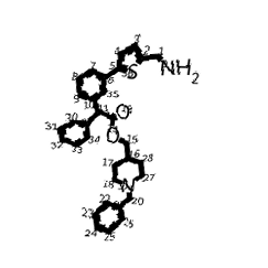 NCc1ccc(-c2cccc(C(C(=O)OCC3CCN(Cc4ccccc4)CC3)c3ccccc3)c2)s1